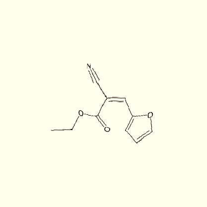 CCOC(=O)/C(C#N)=C\c1ccco1